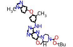 Cc1cc(Nc2ncnc3cc4c(nc23)N2CCN(C(=O)OC(C)(C)C)C[C@@H]2CO4)ccc1Oc1ccc2c(c1)ncn2C